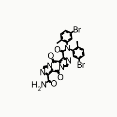 Cc1ccc(Br)cc1N(C(=O)c1ncn2c(=O)c3c(C(N)=O)ncn3c(=O)c12)c1cc(Br)ccc1C